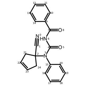 N#CC1(N(C(=O)NC(=O)c2ccccc2)c2ccccc2)CC=CC1